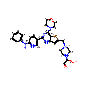 O=CC(O)N1CCN(Cc2cc3nc(-c4ccc(Nc5ccccc5)nc4)nc(N4CCOCC4)c3s2)CC1